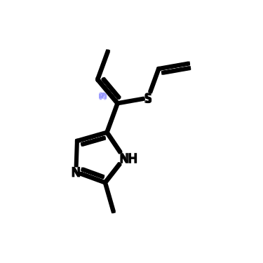 C=CS/C(=C\C)c1cnc(C)[nH]1